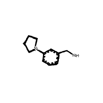 [NH]Cc1cccc(N2CCCC2)c1